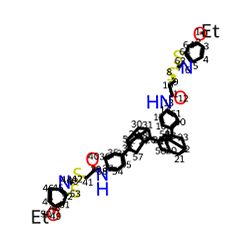 CCOc1ccc2nc(SCCC(=O)Nc3ccc(C45CC6CC(C4)CC(C4C7CC8CC4CC(c4ccc(NC(=O)CSc9nc%10ccc(OCC)cc%10s9)cc4)(C8)C7)(C6)C5)cc3)sc2c1